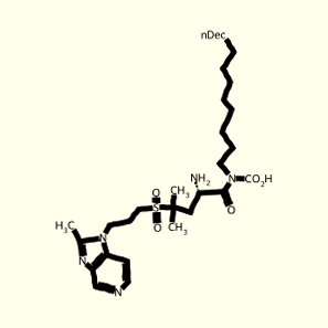 CCCCCCCCCCCCCCCCCCN(C(=O)O)C(=O)[C@@H](N)CC(C)(C)S(=O)(=O)CCCn1c(C)nc2cnccc21